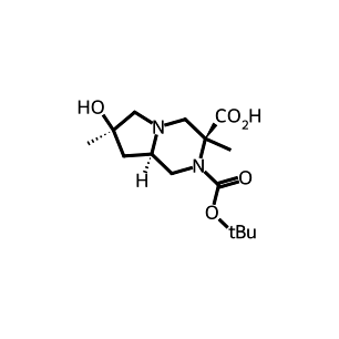 CC(C)(C)OC(=O)N1C[C@H]2C[C@@](C)(O)CN2C[C@@]1(C)C(=O)O